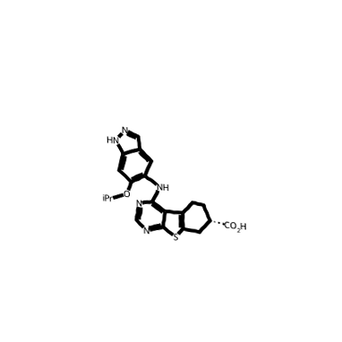 CC(C)Oc1cc2[nH]ncc2cc1Nc1ncnc2sc3c(c12)CC[C@H](C(=O)O)C3